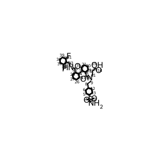 NS(=O)(=O)c1ccc(CCN(CCC(=O)O)C(=O)c2ccccc2-c2ccccc2C(=O)NCc2c(F)cccc2F)cc1